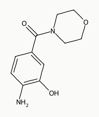 Nc1ccc(C(=O)N2CCOCC2)cc1O